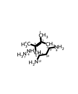 CC(C)=C(C)C.N.N.NCCCN